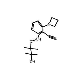 CC(C)(O)C(C)(C)OBc1cccc(N2CCC2)c1C#N